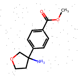 COC(=O)c1ccc(C2(N)CCOC2)cc1